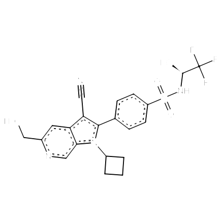 CCc1cc2c(C#N)c(-c3ccc(S(=O)(=O)N[C@@H](C)C(F)(F)F)cc3)n(C3CCC3)c2cn1